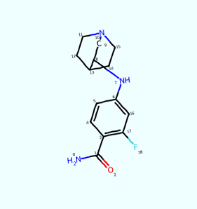 NC(=O)c1ccc(NC2CN3CCC2CC3)cc1F